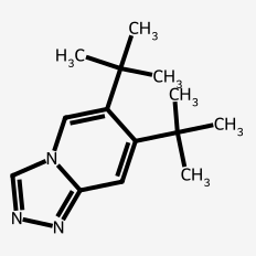 CC(C)(C)c1cc2nncn2cc1C(C)(C)C